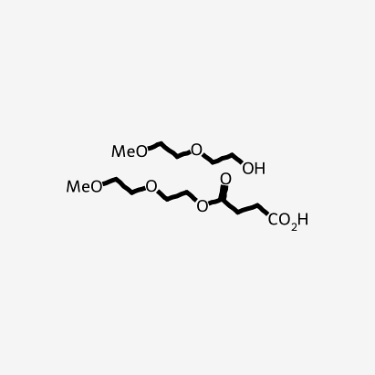 COCCOCCO.COCCOCCOC(=O)CCC(=O)O